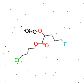 O=[C]OC(CCCF)C(=O)OCCCCCl